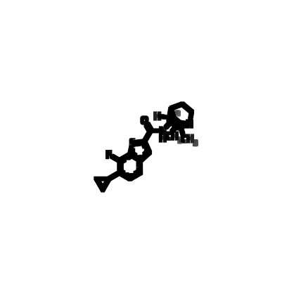 CC1(C)[C@H](NC(=O)c2cc3ccc(C4CC4)c(F)c3s2)C2CCN1CC2